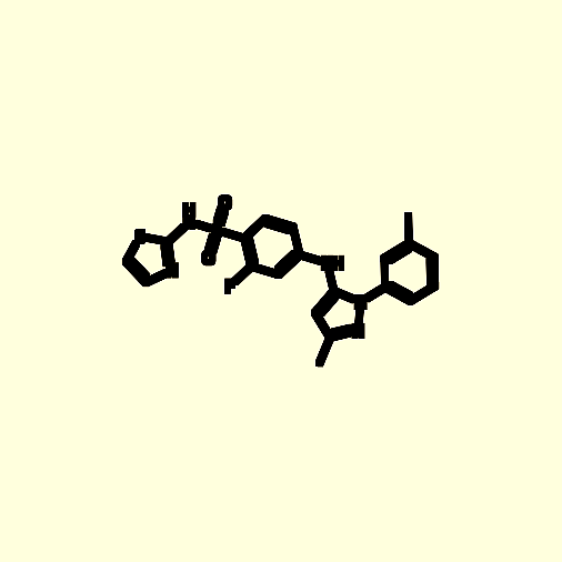 Cc1cccc(-n2nc(C)cc2Nc2ccc(S(=O)(=O)Nc3nccs3)c(F)c2)c1